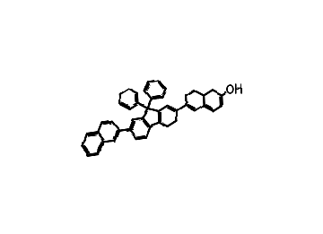 OC1=CC=C2C=C(C3=CC4=C(CC3)c3ccc(-c5ccc6ccccc6c5)cc3C4(C3=CCCC=C3)c3ccccc3)CCC2C1